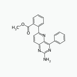 COC(=O)c1ccccc1-c1ccc2nc(N)nc(-c3ccccc3)c2n1